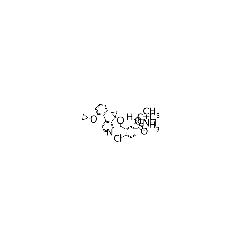 CC(C)(C)NS(=O)(=O)c1ccc(Cl)c(COC2(c3cnccc3-c3ccccc3OC3CC3)CC2)c1